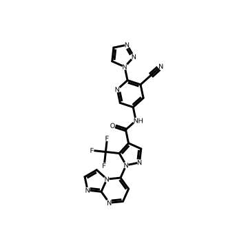 N#Cc1cc(NC(=O)c2cnn(-c3ccnc4nccn34)c2C(F)(F)F)cnc1-n1ccnn1